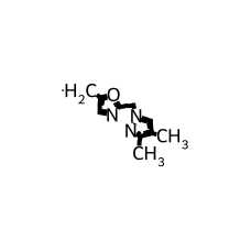 [CH2]c1cnc(Cn2cc(C)c(C)n2)o1